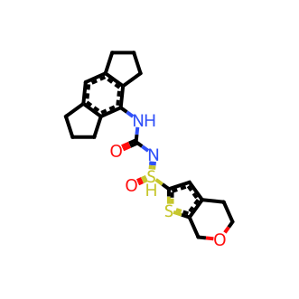 O=C(/N=[SH](=O)/c1cc2c(s1)COCC2)Nc1c2c(cc3c1CCC3)CCC2